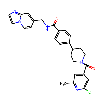 Cc1cc(C(=O)N2CCC(c3ccc(C(=O)NCc4ccn5ccnc5c4)cc3)CC2)cc(Cl)n1